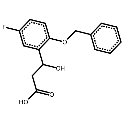 O=C(O)CC(O)c1cc(F)ccc1OCc1ccccc1